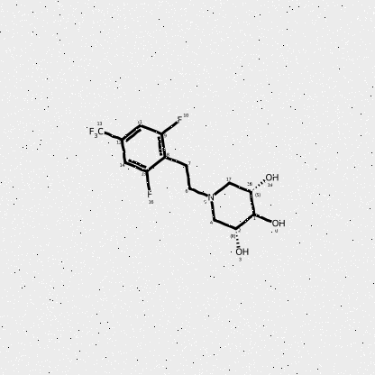 OC1[C@H](O)CN(CCc2c(F)cc(C(F)(F)F)cc2F)C[C@@H]1O